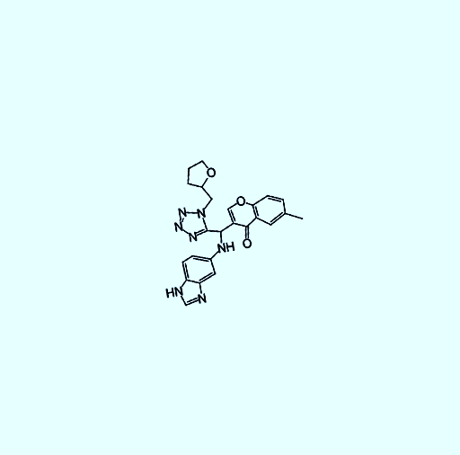 Cc1ccc2occ(C(Nc3ccc4[nH]cnc4c3)c3nnnn3CC3CCCO3)c(=O)c2c1